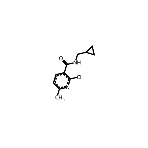 Cc1ccc(C(=O)NCC2CC2)c(Cl)n1